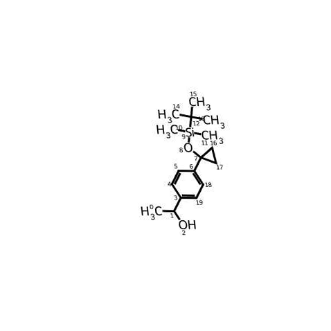 CC(O)c1ccc(C2(O[Si](C)(C)C(C)(C)C)CC2)cc1